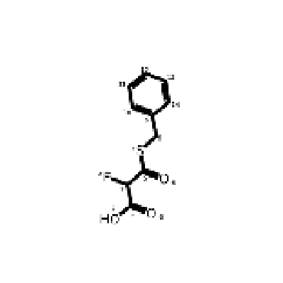 O=C(O)C(F)C(=O)SCc1ccccc1